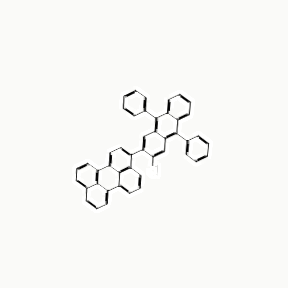 Clc1cc2c(-c3ccccc3)c3ccccc3c(-c3ccccc3)c2cc1-c1ccc2c3cccc4cccc(c5cccc1c52)c43